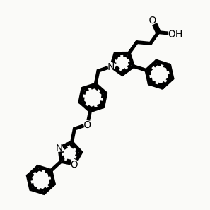 O=C(O)CCc1cn(Cc2ccc(OCc3coc(-c4ccccc4)n3)cc2)cc1-c1ccccc1